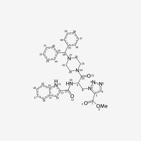 COC(=O)c1cnnn1CC(NC(=O)c1cc2ccccc2[nH]1)C(=O)N1CCN(C(c2ccccc2)c2ccccc2)CC1